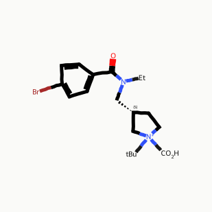 CCN(C[C@@H]1CC[N+](C(=O)O)(C(C)(C)C)C1)C(=O)c1ccc(Br)cc1